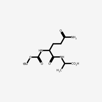 CC(NC(=O)C(CCC(N)=O)NC(=O)OC(C)(C)C)C(=O)O